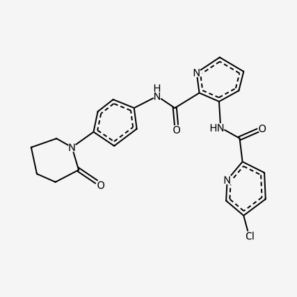 O=C(Nc1cccnc1C(=O)Nc1ccc(N2CCCCC2=O)cc1)c1ccc(Cl)cn1